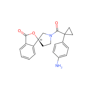 Nc1ccc(C2(C(=O)N3CC[C@]4(C3)OC(=O)c3ccccc34)CC2)cc1